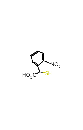 O=C(O)C(S)c1ccccc1[N+](=O)[O-]